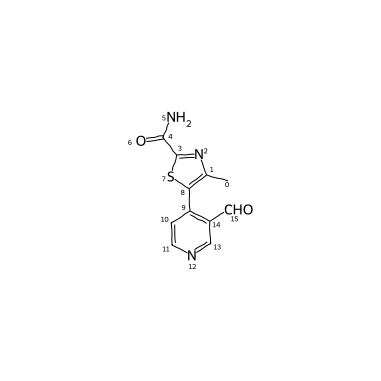 Cc1nc(C(N)=O)sc1-c1ccncc1C=O